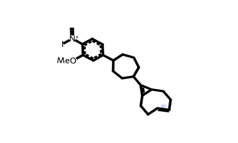 C=[N+](I)c1ccc(C2CCCC(C3=C4CC/C=C/CCC43)CC2)cc1OC